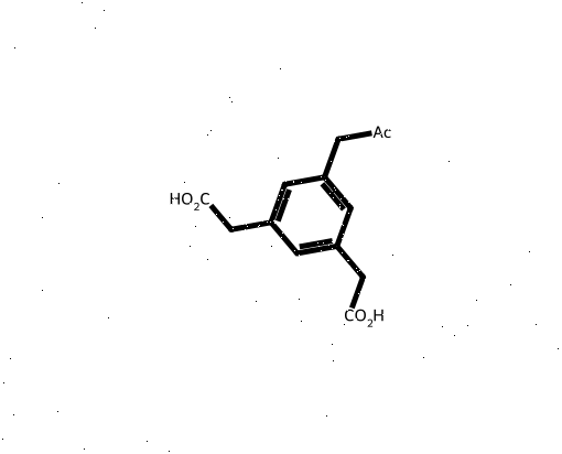 CC(=O)Cc1cc(CC(=O)O)cc(CC(=O)O)c1